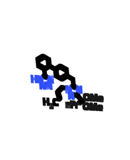 C/C=C/Cn1nc(C(CCC)(OC)OC)nc1Cc1ccc(-c2ccccc2-c2nnn[nH]2)cc1